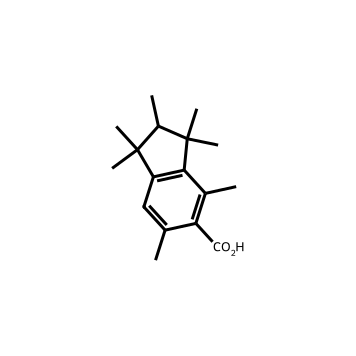 Cc1cc2c(c(C)c1C(=O)O)C(C)(C)C(C)C2(C)C